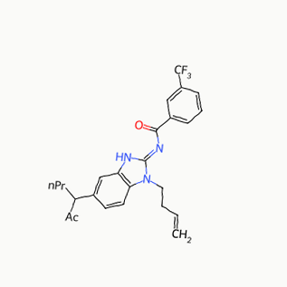 C=CCCn1/c(=N/C(=O)c2cccc(C(F)(F)F)c2)[nH]c2cc(C(CCC)C(C)=O)ccc21